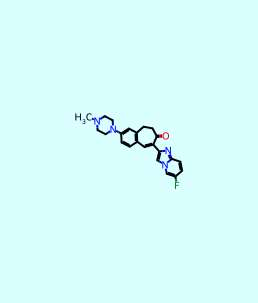 CN1CCN(c2ccc3c(c2)CCC(=O)C(c2cn4cc(F)ccc4n2)=C3)CC1